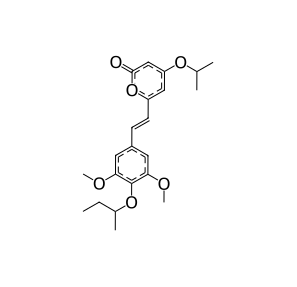 CCC(C)Oc1c(OC)cc(/C=C/c2cc(OC(C)C)cc(=O)o2)cc1OC